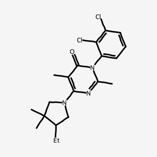 CCC1CN(c2nc(C)n(-c3cccc(Cl)c3Cl)c(=O)c2C)CC1(C)C